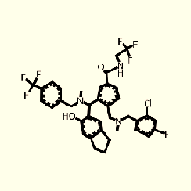 CN(Cc1ccc(F)cc1Cl)Cc1ccc(C(=O)NCC(F)(F)F)cc1C(c1cc2c(cc1O)CCC2)N(C)Cc1ccc(C(F)(F)F)cc1